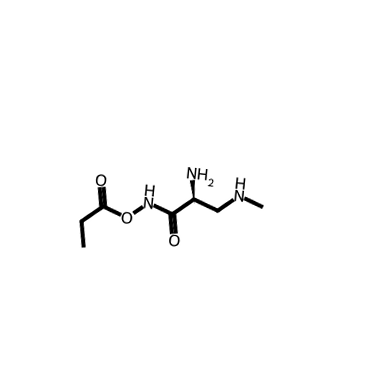 CCC(=O)ONC(=O)[C@@H](N)CNC